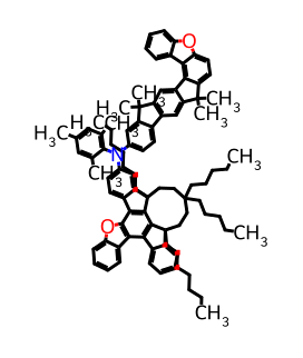 CCCCCCCC12CCC(CCCCC)(CCCCC)CCC3(CCCCCCC)c4ccccc4-c4c3c1c(c1oc3ccccc3c41)-c1ccc(N(c3ccc4c(c3)C(C)(C)c3cc5c(cc3-4)C(C)(C)c3ccc4oc6ccccc6c4c3-5)c3c(C)cc(C)cc3C)cc12